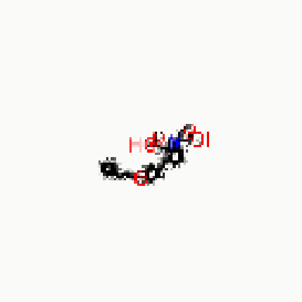 CCC(CC(=O)O)n1cc(CC(=O)O)c2c(C=Cc3ccc(OCCCCc4ccccc4)cc3)cccc21